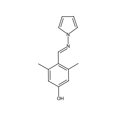 Cc1cc(O)cc(C)c1/C=N/n1cccc1